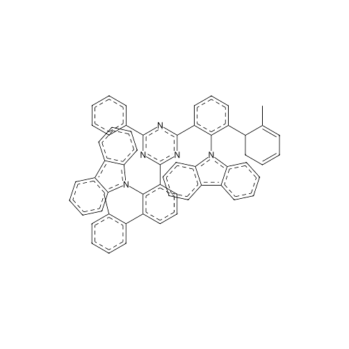 CC1=CC=CCC1c1cccc(-c2nc(-c3ccccc3)nc(-c3cccc(-c4ccccc4C)c3-n3c4ccccc4c4ccccc43)n2)c1-n1c2ccccc2c2ccccc21